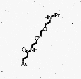 CC(=O)CCC(=O)NCCOCCOCCNC(C)C